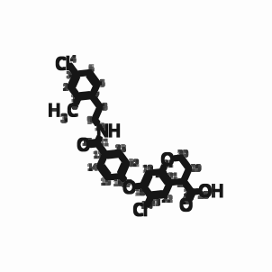 Cc1cc(Cl)ccc1CCNC(=O)c1ccc(Oc2cc3c(cc2Cl)C(C(=O)O)CCO3)cc1